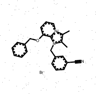 Cc1c(C)[n+]2cccc(OCc3ccccc3)c2n1Cc1cccc(C#N)c1.[Br-]